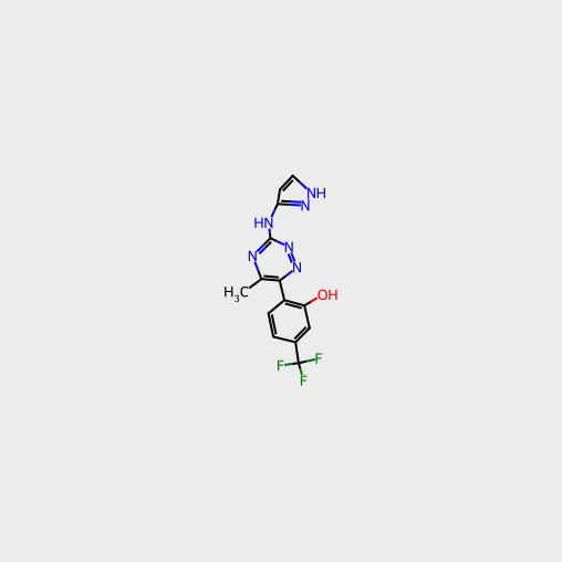 Cc1nc(Nc2cc[nH]n2)nnc1-c1ccc(C(F)(F)F)cc1O